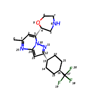 Cc1cc([C@H]2CNCCO2)n2nc([C@H]3CC[C@H](C(F)(F)F)CC3)cc2n1